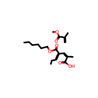 C=C(C)C(=O)OC.CCC=C(C=C(C)C(=O)O)C(=O)OCCCCCC